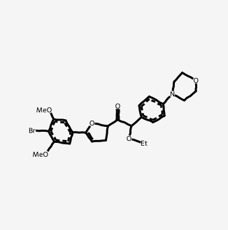 CCOC(C(=O)C1CC=C(c2cc(OC)c(Br)c(OC)c2)O1)c1ccc(N2CCOCC2)cc1